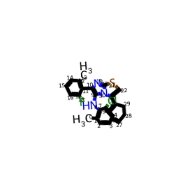 Cc1cccc(Cl)c1Nc1c(-c2c(C)cccc2F)nc2scc(C3=CC=CCC3)n12